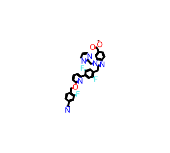 COC(=O)c1ccc2nc(Cc3cc(F)c(-c4cccc(OCc5ccc(C#N)cc5F)n4)cc3F)n(Cc3ncccn3)c2c1